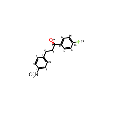 O=C(CCc1ccc([N+](=O)[O-])cc1)c1ccc(F)cc1